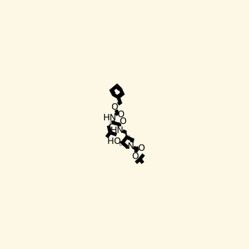 CC(C)C[C@H](NC(=O)OCc1ccccc1)C(=O)NC[C@H]1CN(C(=O)OC(C)(C)C)C[C@H]1O